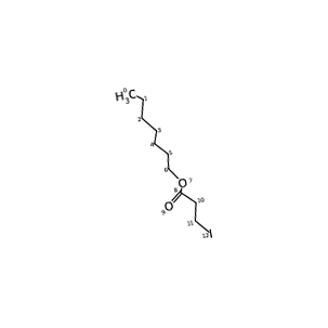 CCCCCCCOC(=O)CCI